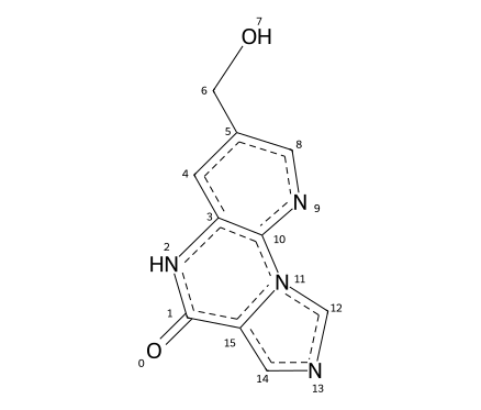 O=c1[nH]c2cc(CO)cnc2n2cncc12